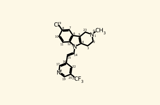 CN1CCc2c(c3cc(Cl)ccc3n2/C=C/c2cncc(C(F)(F)F)c2)C1